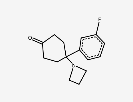 O=C1CCC(c2cccc(F)c2)(N2CCC2)CC1